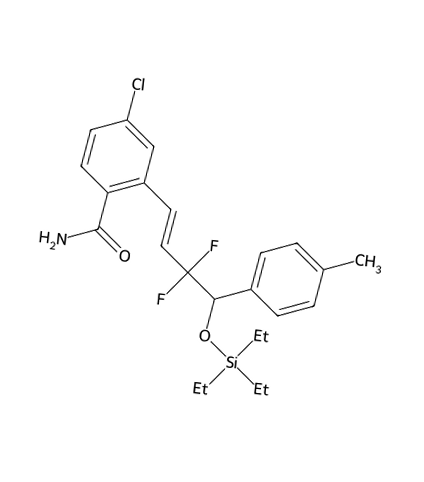 CC[Si](CC)(CC)OC(c1ccc(C)cc1)C(F)(F)C=Cc1cc(Cl)ccc1C(N)=O